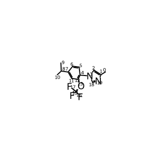 Cc1cn(-c2ccc(C(C)C)cc2OC(F)(F)F)cn1